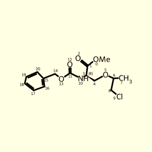 COC(=O)[C@@H](COC(C)CCl)NC(=O)OCc1ccccc1